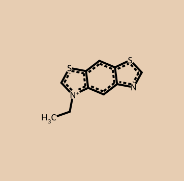 CC[n+]1csc2cc3scnc3cc21